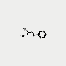 N#C/C([C]=O)=N/Nc1ccccc1